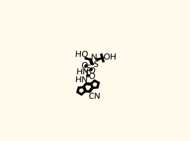 CC(C)(O)c1nc(CO)c(S(=O)(=O)NC(=O)Nc2c3c(c(C#N)c4c2CCC4)CCC3)s1